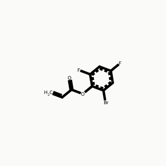 C=CC(=O)Oc1c(F)cc(F)cc1Br